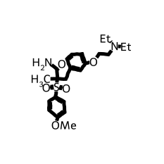 CCN(CC)CCOc1cccc(CC(C)(C(N)=O)S(=O)(=O)c2ccc(OC)cc2)c1